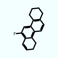 Fc1cc2c3c(ccc2c2c1C=CCC2)CCCC3